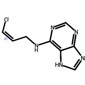 Cl/C=C\CNc1ncnc2nc[nH]c12